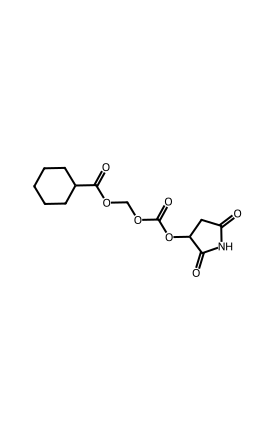 O=C1CC(OC(=O)OCOC(=O)C2CCCCC2)C(=O)N1